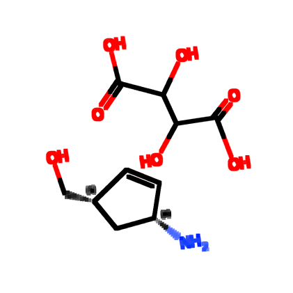 N[C@H]1C=C[C@@H](CO)C1.O=C(O)C(O)C(O)C(=O)O